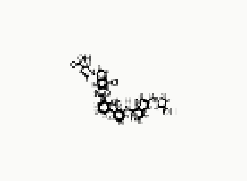 O=C(O)[C@@H]1CCN([C@@H]2CCc3c2cc2nc(-c4cccc(-c5cccc(Nc6nccc7cc(CN8CC[C@@H](O)C8)cnc67)c5Cl)c4Cl)oc2c3Cl)C1